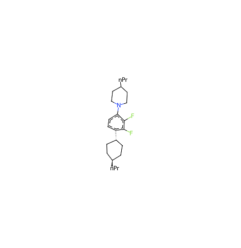 CCCC1CCN(c2ccc([C@H]3CC[C@H](CCC)CC3)c(F)c2F)CC1